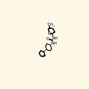 Cc1ccc(NC(=O)N[C@H]2CC[C@H](c3ccccc3)CC2)nc1